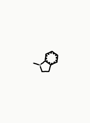 [CH2]N1CCc2ccccc21